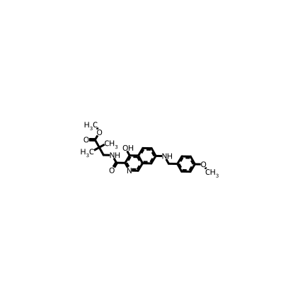 COC(=O)C(C)(C)CNC(=O)c1ncc2cc(NCc3ccc(OC)cc3)ccc2c1O